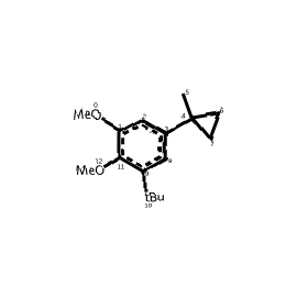 COc1cc(C2(C)CC2)cc(C(C)(C)C)c1OC